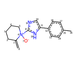 C=C1CCCC[N+]1([O-])c1ncc(-c2ccc(C)cc2)[nH]1